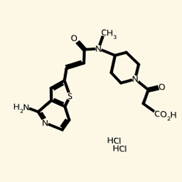 CN(C(=O)C=Cc1cc2c(N)nccc2s1)C1CCN(C(=O)CC(=O)O)CC1.Cl.Cl